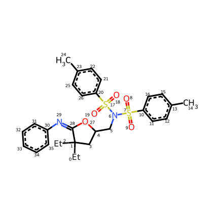 CCC1(CC)CC(CN(S(=O)(=O)c2ccc(C)cc2)S(=O)(=O)c2ccc(C)cc2)OC1=Nc1ccccc1